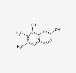 Cc1cc2ccc(O)cc2c(O)c1C